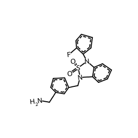 NCc1cccc(CN2c3ccccc3N(c3ccccc3F)S2(=O)=O)c1